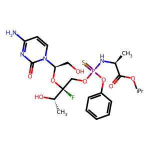 CC(C)OC(=O)[C@H](C)NP(=S)(OC[C@@](F)(O[C@H](CO)n1ccc(N)nc1=O)[C@H](C)O)Oc1ccccc1